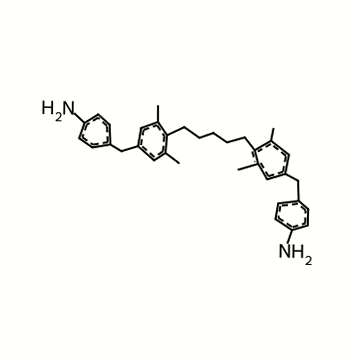 Cc1cc(Cc2ccc(N)cc2)cc(C)c1CCCCCc1c(C)cc(Cc2ccc(N)cc2)cc1C